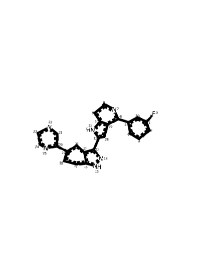 Fc1cccc(-c2nccc3[nH]c(-c4n[nH]c5ccc(-c6cnccn6)cc45)cc23)c1